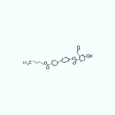 CCCCCOC(=O)c1ccc(-c2ccc(OC(=O)c3ccc(O)cc3C=O)cc2)cc1